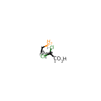 CCCCCCP.O=C(O)C(Cl)Cl